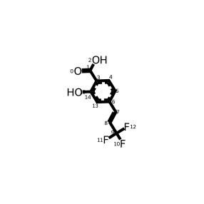 O=C(O)c1ccc(C=CC(F)(F)F)cc1O